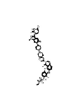 CCN(C)S(=O)(=O)Nc1ccc(F)c(Oc2ccc3ncn([C@H]4COC5(CCN(C6CCC(c7cc8c(cc7F)c(N7CCC(=O)NC7=O)nn8C)CC6)CC5)C4)c(=O)c3c2)c1F